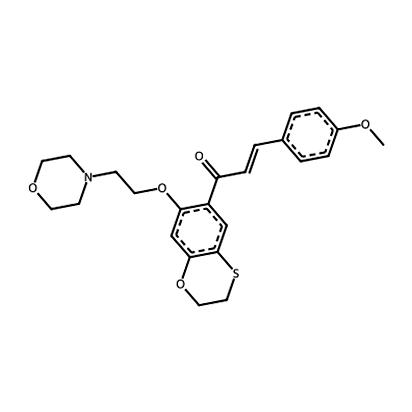 COc1ccc(/C=C/C(=O)c2cc3c(cc2OCCN2CCOCC2)OCCS3)cc1